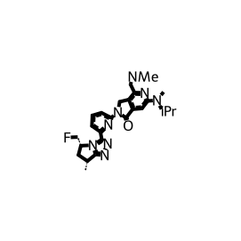 CNCc1nc(N(C)C(C)C)cc2c1CN(c1cccc(-c3nnc4n3[C@@H](CF)C[C@H]4C)n1)C2=O